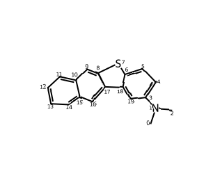 CN(C)c1ccc2sc3cc4ccccc4cc3c2c1